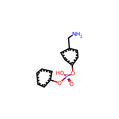 NCc1ccc(OP(=O)(O)Oc2ccccc2)cc1